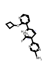 C=C(/C=C\C(=C(/C)F)c1cnc(N)cn1)c1cccnc1OC1CCC1